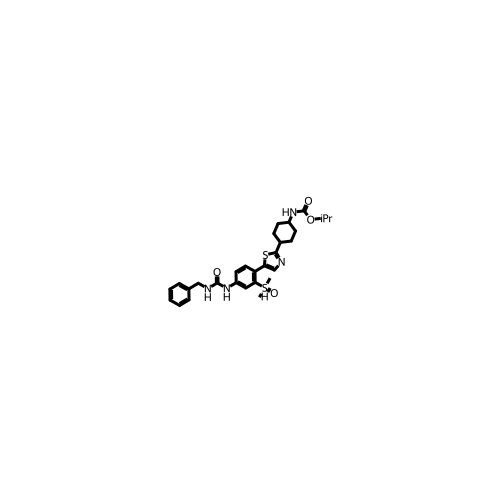 CC(C)OC(=O)NC1CCC(c2ncc(-c3ccc(NC(=O)NCc4ccccc4)cc3[SH](C)(C)=O)s2)CC1